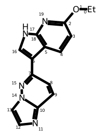 CCOc1ccc2c(-c3ccc4nccn4n3)c[nH]c2n1